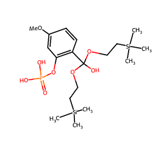 COc1ccc(C(O)(OCC[Si](C)(C)C)OCC[Si](C)(C)C)c(OP(=O)(O)O)c1